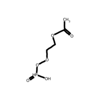 CC(=O)OCCOO[PH](=O)O